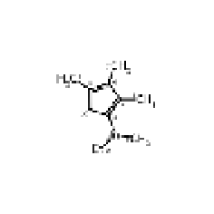 C[CH2][In]([CH3])[C]1=C(C)C(C)=C(C)C1